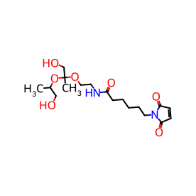 CC(CO)OC(C)(CO)OCCNC(=O)CCCCCN1C(=O)C=CC1=O